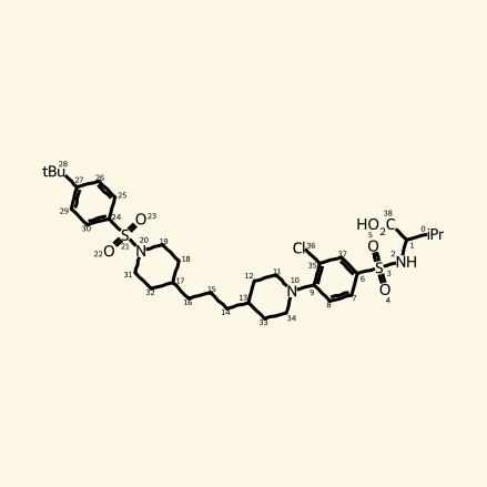 CC(C)C(NS(=O)(=O)c1ccc(N2CCC(CCCC3CCN(S(=O)(=O)c4ccc(C(C)(C)C)cc4)CC3)CC2)c(Cl)c1)C(=O)O